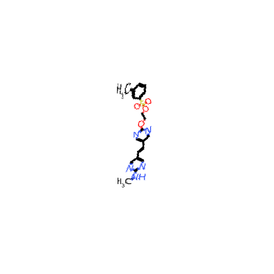 CNc1ncc(C=Cc2cnc(OCCOS(=O)(=O)c3cccc(C)c3)nc2)cn1